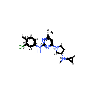 CCCc1cc(N2CC[C@H](N(C)C3CC3)C2)nc(Nc2ccc(C)c(Cl)c2)n1